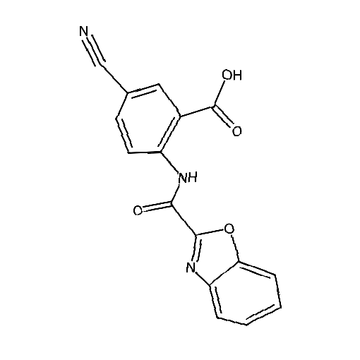 N#Cc1ccc(NC(=O)c2nc3ccccc3o2)c(C(=O)O)c1